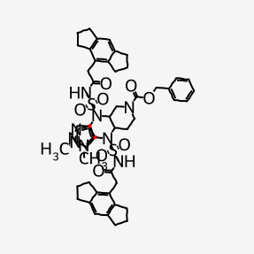 Cn1cc(N(C2CCN(C(=O)OCc3ccccc3)CC2N(c2cnn(C)c2)S(=O)(=O)NC(=O)Cc2c3c(cc4c2CCC4)CCC3)S(=O)(=O)NC(=O)Cc2c3c(cc4c2CCC4)CCC3)cn1